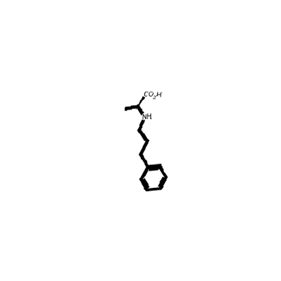 C[C@H](NCCCc1ccccc1)C(=O)O